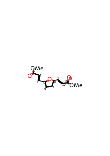 COC(=O)/C=C/[C@@H]1CC[C@H](/C=C/C(=O)OC)O1